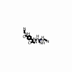 N#CCN/C=C(\C=N)Nc1ncc(Cl)c(-c2ccc(C(=O)NCC#N)cc2)n1